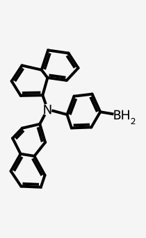 Bc1ccc(N(c2ccc3ccccc3c2)c2cccc3ccccc23)cc1